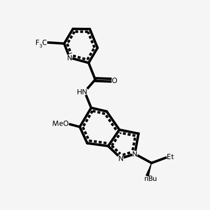 CCCC[C@H](CC)n1cc2cc(NC(=O)c3cccc(C(F)(F)F)n3)c(OC)cc2n1